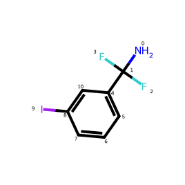 NC(F)(F)c1cccc(I)c1